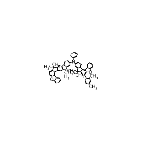 Cc1ccc(-c2cc3c(c4c2oc2ccccc24)-c2ccc(N(c4ccc5c(c4)C(C)(C)c4cc6c(cc4-5)C(C)(C)c4ccc5oc7ccccc7c5c4-6)c4ccccn4)cc2C3(C)C)c(C)c1